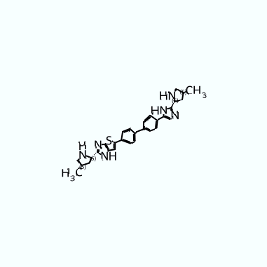 C[C@@H]1CN[C@H](c2ncc(-c3ccc(-c4ccc(-c5cc6[nH]c([C@@H]7C[C@H](C)CN7)nc6s5)cc4)cc3)[nH]2)C1